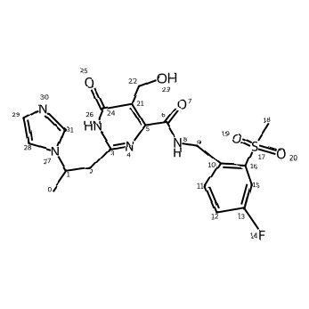 CC(Cc1nc(C(=O)NCc2ccc(F)cc2S(C)(=O)=O)c(CO)c(=O)[nH]1)n1ccnc1